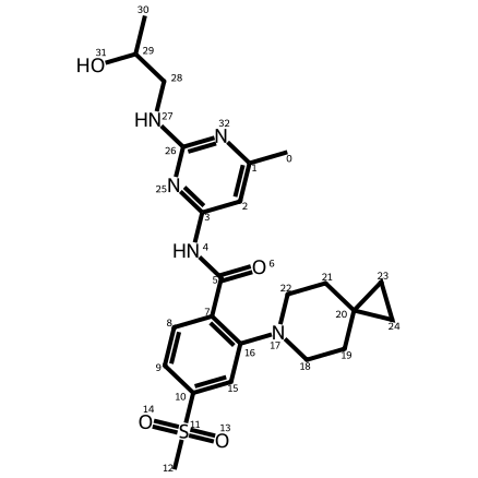 Cc1cc(NC(=O)c2ccc(S(C)(=O)=O)cc2N2CCC3(CC2)CC3)nc(NCC(C)O)n1